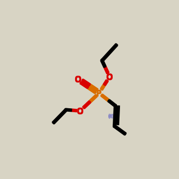 C/C=C/P(=O)(OCC)OCC